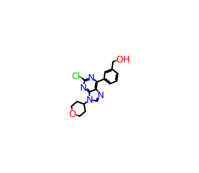 OCc1cccc(-c2nc(Cl)nc3c2ncn3C2CCOCC2)c1